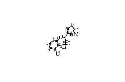 CCC(Oc1cccc(Cl)c1Cl)C1=NCCN1